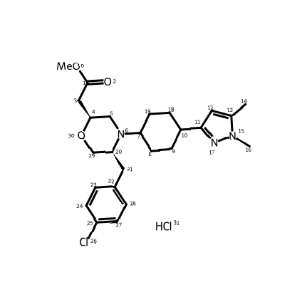 COC(=O)C[C@H]1CN(C2CCC(c3cc(C)n(C)n3)CC2)[C@@H](Cc2ccc(Cl)cc2)CO1.Cl